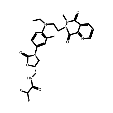 CCN(CCn1c(=O)c2ncccc2c(=O)n1C)c1ccc(N2C[C@H](CNC(=O)C(F)F)OC2=O)cc1F